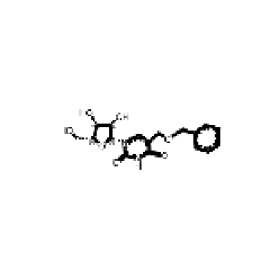 O=c1[nH]c(=O)n([C@@H]2O[C@H](CO)[C@@H](O)[C@H]2O)cc1COCc1ccccc1